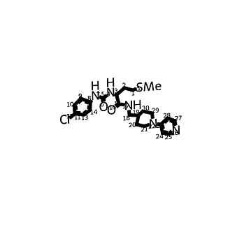 CSCCC(NC(=O)Nc1ccc(Cl)cc1)C(=O)NCC1CCN(c2ccncc2)CC1